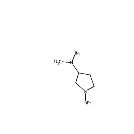 CCCN1CCC(N(C)C(C)C)C1